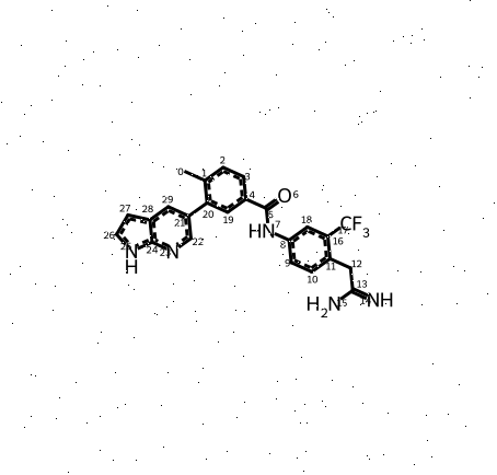 Cc1ccc(C(=O)Nc2ccc(CC(=N)N)c(C(F)(F)F)c2)cc1-c1cnc2[nH]ccc2c1